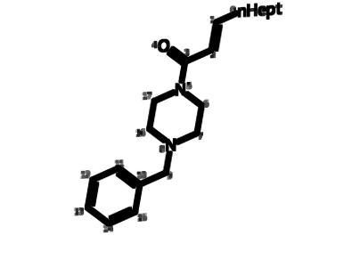 CCCCCCC/C=C/C(=O)N1CCN(Cc2ccccc2)CC1